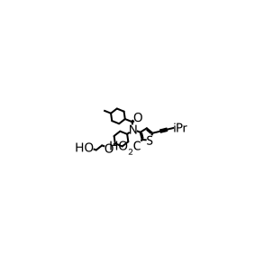 CC(C)C#Cc1cc(N(C(=O)C2CCC(C)CC2)C2CCC(OCCO)CC2)c(C(=O)O)s1